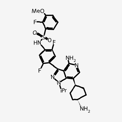 COc1cccc(S(=O)(=O)Nc2cc(F)c(-c3nn(C(C)C)c4c3c(N)ncc4[C@H]3CC[C@H](N)CC3)cc2F)c1F